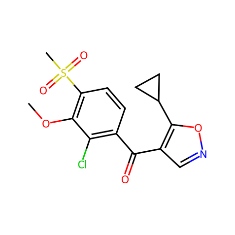 COc1c(S(C)(=O)=O)ccc(C(=O)c2cnoc2C2CC2)c1Cl